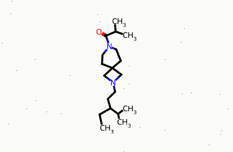 CCC(CCN1CC2(CCN(C(=O)C(C)C)CC2)C1)C(C)C